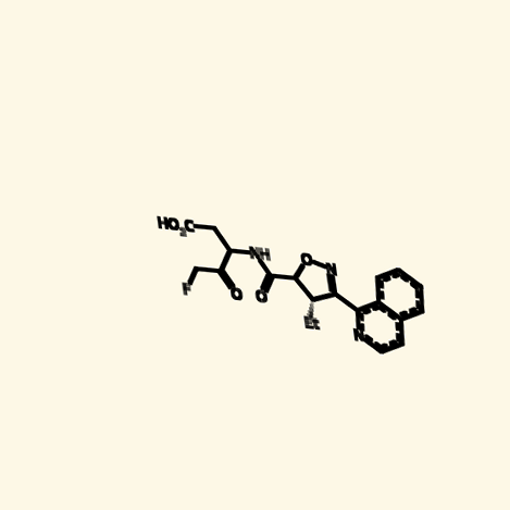 CC[C@H]1C(c2nccc3ccccc23)=NOC1C(=O)NC(CC(=O)O)C(=O)CF